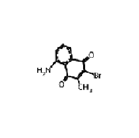 CC1=C(Br)C(=O)c2cccc(N)c2C1=O